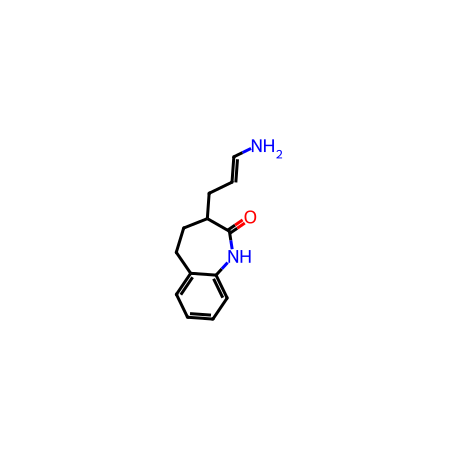 NC=CCC1CCc2ccccc2NC1=O